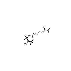 C=C(I)C(=O)OCCOC1CC(C)(C)N(O)C(C)(C)C1